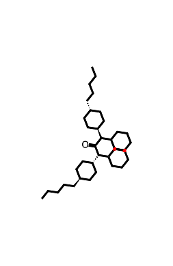 CCCCC[C@H]1CC[C@H](C(C(=O)C(C2CCCCC2)[C@H]2CC[C@H](CCCCC)CC2)C2CCCCC2)CC1